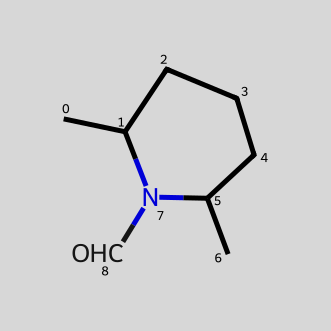 CC1CCCC(C)N1C=O